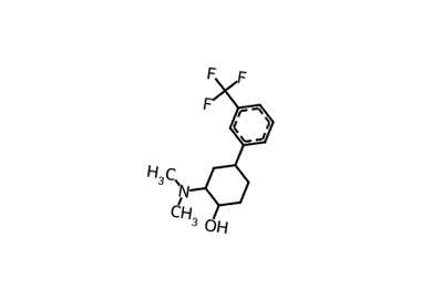 CN(C)C1CC(c2cccc(C(F)(F)F)c2)CCC1O